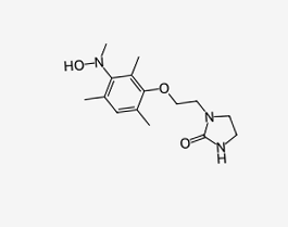 Cc1cc(C)c(N(C)O)c(C)c1OCCN1CCNC1=O